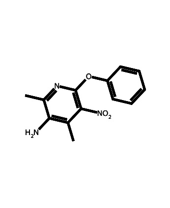 Cc1nc(Oc2ccccc2)c([N+](=O)[O-])c(C)c1N